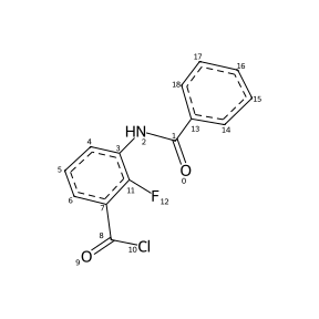 O=C(Nc1cccc(C(=O)Cl)c1F)c1ccccc1